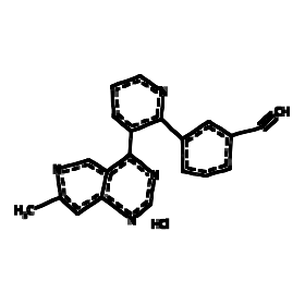 C#Cc1cccc(-c2ncccc2-c2ncnc3cc(C)ncc23)c1.Cl